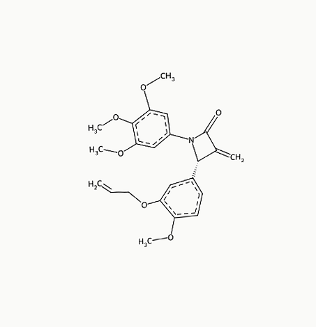 C=CCOc1cc([C@H]2C(=C)C(=O)N2c2cc(OC)c(OC)c(OC)c2)ccc1OC